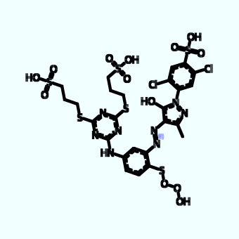 Cc1nn(-c2cc(Cl)c(S(=O)(=O)O)cc2Cl)c(O)c1/N=N/c1cc(Nc2nc(SCCCS(=O)(=O)O)nc(SCCCS(=O)(=O)O)n2)ccc1SOOO